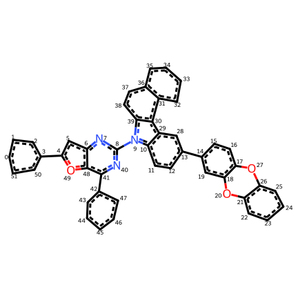 c1ccc(-c2cc3nc(-n4c5ccc(-c6ccc7c(c6)Oc6ccccc6O7)cc5c5c6ccccc6ccc54)nc(-c4ccccc4)c3o2)cc1